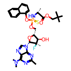 Cc1nc(N(C)C)c2ncn([C@@H]3O[C@H](CO[P@](=S)(N[C@H](C)C(=O)OCC(C)(C)C)Oc4cccc5ccccc45)[C@@H](O)[C@@]3(C)F)c2n1